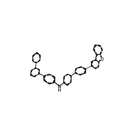 c1ccc(-c2cccc(-c3ccc(Nc4ccc(-c5ccc(-c6ccc7oc8ccccc8c7c6)cc5)cc4)cc3)c2)cc1